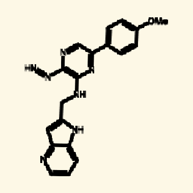 COc1ccc(-c2cnc(N=N)c(NCc3cc4ncccc4[nH]3)n2)cc1